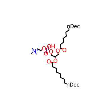 CCCCCCCCCCCCCCCCCC(=O)OC(COC(=O)CCCCCCCCCCCCCCCC)COP(=O)(O)OCC[N+](C)(C)C